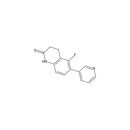 O=C1CCc2c(ccc(-c3cccnc3)c2F)N1